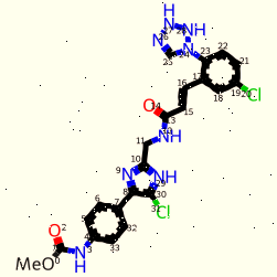 COC(=O)Nc1ccc(-c2nc(CNC(=O)/C=C/c3cc(Cl)ccc3N3C=NNN3)[nH]c2Cl)cc1